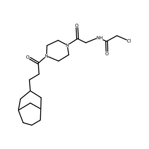 O=C(CCl)NCC(=O)N1CCN(C(=O)CCC2CC3CCCC(C3)C2)CC1